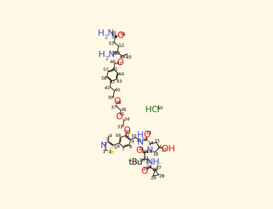 Cc1ncsc1-c1ccc(CNC(=O)[C@@H]2C[C@@H](O)CN2C(=O)[C@@H](NC(=O)C2(F)CC2)C(C)(C)C)c(OCCOCCOCCCc2ccc(CO[C@H](C)[C@@H](N)CCC(N)=O)cc2)c1.Cl